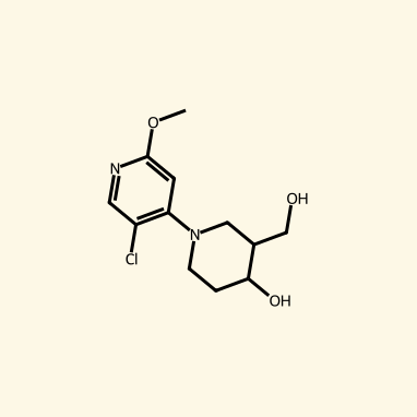 COc1cc(N2CCC(O)C(CO)C2)c(Cl)cn1